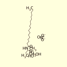 CCCCCCCCCCCCCCCCCC(=O)NC(CC)[N+](C)(C)CC(O)O.O=[N+]([O-])[O-]